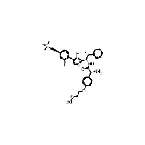 C[C@H](c1ccccc1)[C@H](NC(=O)C(N)c1ccc(OCCOC(C)(C)C)cc1)c1ncc(-c2ccc(C#C[Si](C)(C)C)cc2F)[nH]1